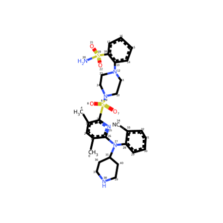 Cc1cc(C)c(S(=O)(=O)N2CCN(c3ccccc3S(N)(=O)=O)CC2)nc1N(c1ccccc1C#N)C1CCNCC1